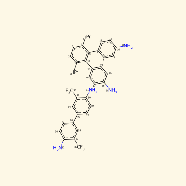 CC(C)c1ccc(C(C)C)c(-c2ccc(N)cc2)c1-c1ccc(N)cc1.Nc1ccc(-c2ccc(N)c(C(F)(F)F)c2)cc1C(F)(F)F